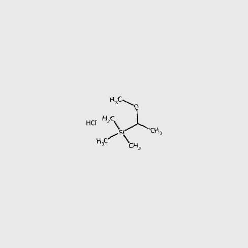 COC(C)[Si](C)(C)C.Cl